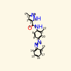 Cc1cc(C(=O)Nc2ccc(N=Nc3ccccc3C)cc2C)[nH]n1